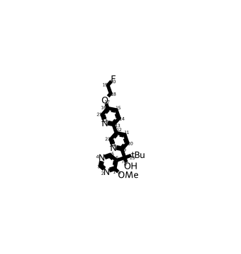 COc1ncncc1C(O)(c1ccc(-c2ccc(OCCF)cn2)cn1)C(C)(C)C